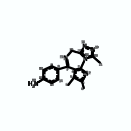 Cc1sc2c(c1C)C(c1ccc(N)cc1)=NCc1nnc(C)n1-2